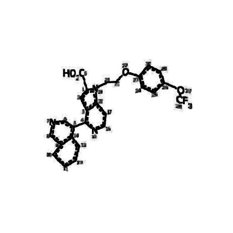 O=C(O)c1cc2c(-c3cncc4ccccc34)nccc2n1CCOc1ccc(OC(F)(F)F)cc1